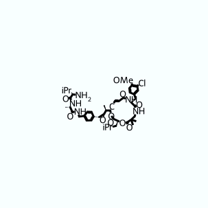 COc1ccc(C[C@@H]2NC(=O)/C=C/C[C@@H]([C@H](C)[C@H]3O[C@@H]3c3ccc(CNC(=O)[C@H](C)NC(=O)[C@@H](N)C(C)C)cc3)OC(=O)[C@H](CC(C)C)OC(=O)C(C)(C)CNC2=O)cc1Cl